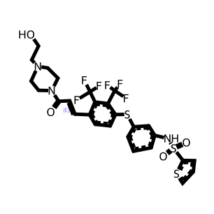 O=C(/C=C/c1ccc(Sc2cccc(NS(=O)(=O)c3cccs3)c2)c(C(F)(F)F)c1C(F)(F)F)N1CCN(CCO)CC1